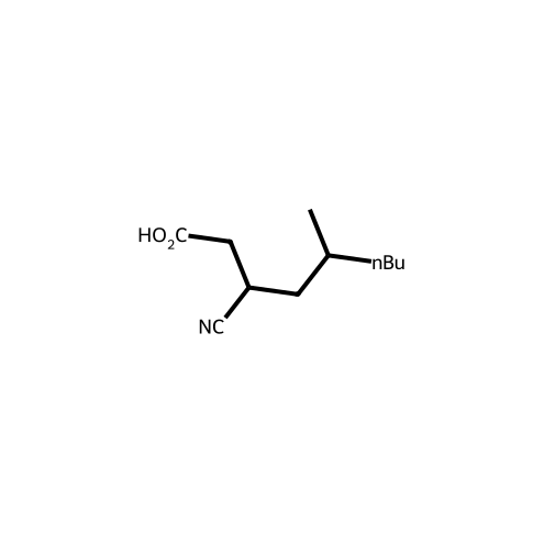 CCCCC(C)CC(C#N)CC(=O)O